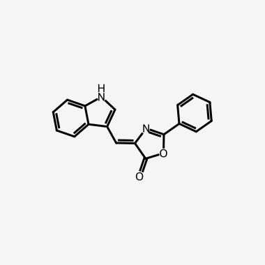 O=C1OC(c2ccccc2)=NC1=Cc1c[nH]c2ccccc12